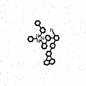 N#Cc1cccc(-c2ccc(-c3ccc4c(c3)-c3cccc5cccc-4c35)cc2)c1-c1cccc(-c2ccccc2-c2nc(-c3ccccc3)nc(-c3cccc(-c4ccccc4)c3)n2)c1